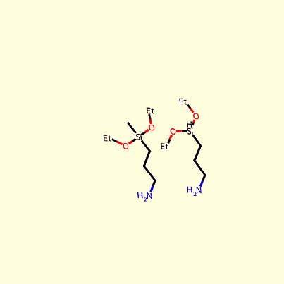 CCO[SiH](CCCN)OCC.CCO[Si](C)(CCCN)OCC